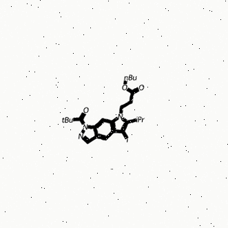 CCCCOC(=O)CCn1c(C(C)C)c(I)c2cc3cnn(C(=O)C(C)(C)C)c3cc21